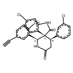 C#Cc1ccc(O)c([C@@H]2NC(=O)C[C@H](c3cccc(Cl)c3)[C@@]23C(=O)Nc2cc(Cl)ccc23)c1